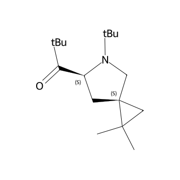 CC(C)(C)C(=O)[C@@H]1C[C@@]2(CN1C(C)(C)C)CC2(C)C